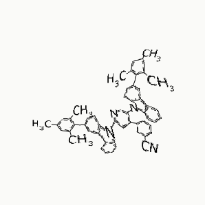 Cc1cc(C)c(-c2ccc3c(c2)c2ccccc2n3-c2cc(-c3cccc(C#N)c3)c(-n3c4ccccc4c4cc(-c5c(C)cc(C)cc5C)ccc43)cn2)c(C)c1